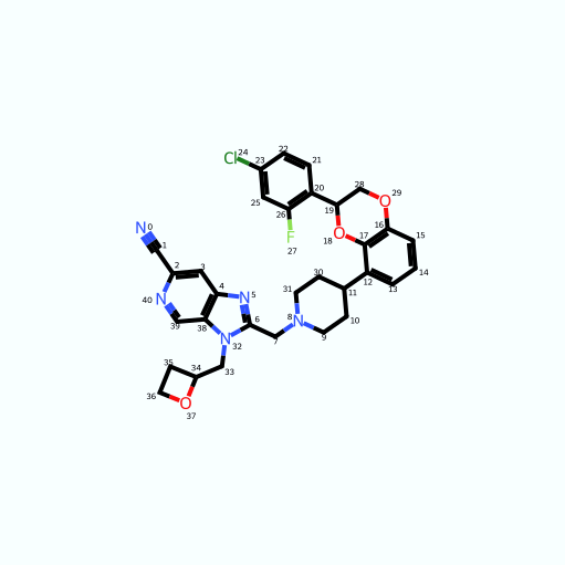 N#Cc1cc2nc(CN3CCC(c4cccc5c4OC(c4ccc(Cl)cc4F)CO5)CC3)n(CC3CCO3)c2cn1